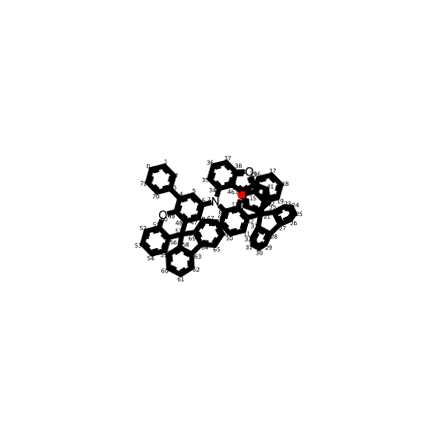 c1ccc(-c2cc(N(c3cccc4c3Oc3ccccc3C43c4ccccc4-c4ccccc43)c3cccc4oc5ccccc5c34)cc3c2Oc2ccccc2C32c3ccccc3-c3ccccc32)cc1